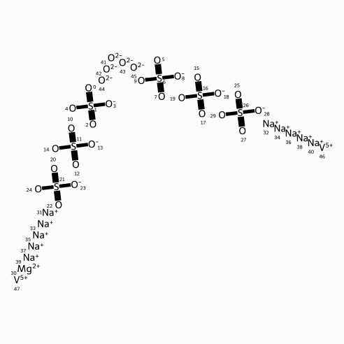 O=S(=O)([O-])[O-].O=S(=O)([O-])[O-].O=S(=O)([O-])[O-].O=S(=O)([O-])[O-].O=S(=O)([O-])[O-].O=S(=O)([O-])[O-].[Mg+2].[Na+].[Na+].[Na+].[Na+].[Na+].[Na+].[Na+].[Na+].[Na+].[Na+].[O-2].[O-2].[O-2].[O-2].[O-2].[V+5].[V+5]